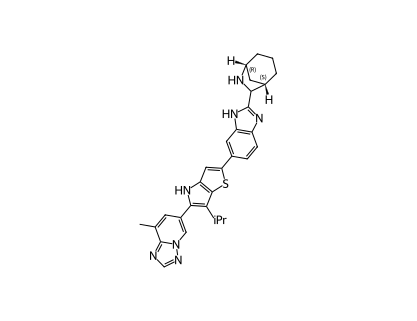 Cc1cc(-c2[nH]c3cc(-c4ccc5nc(C6N[C@@H]7CCC[C@H]6C7)[nH]c5c4)sc3c2C(C)C)cn2ncnc12